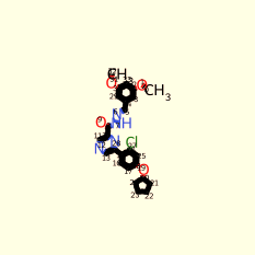 COc1cc(/C=N/NC(=O)c2cncc(-c3ccc(OC4CCCC4)cc3Cl)n2)cc(OC)c1